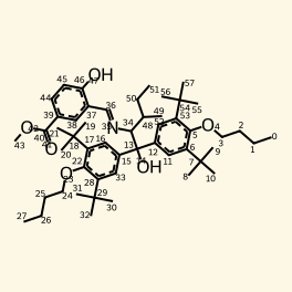 CCCCOc1c(C(C)(C)C)cc(C(O)(c2cc(C(C)(C)C)c(OCCCC)c(C(C)(C)C)c2)C(N=Cc2cc(C(=O)OC)ccc2O)C(C)CC)cc1C(C)(C)C